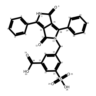 O=C1NC(c2ccccc2)=C2C(=O)N(Cc3cc(C(=O)O)cc(S(=O)(=O)O)c3)C(c3ccccc3)=C12